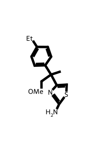 CCc1ccc(C(C)(COC)c2csc(N)n2)cc1